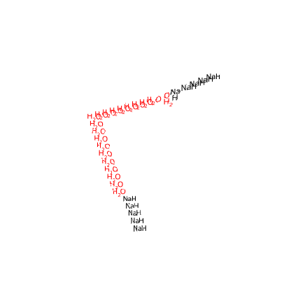 O.O.O.O.O.O.O.O.O.O.O.O.O.O.O.O.O.O.O.O.[NaH].[NaH].[NaH].[NaH].[NaH].[NaH].[NaH].[NaH].[NaH].[NaH]